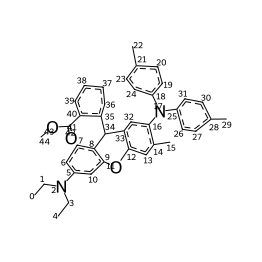 CCN(CC)c1ccc2c(c1)Oc1cc(C)c(N(c3ccc(C)cc3)c3ccc(C)cc3)cc1C2c1ccccc1C(=O)OC